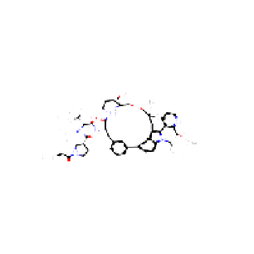 C=CC(=O)N1CC[C@H](C(=O)N(C)[C@H](C(=O)N[C@H]2Cc3cccc(c3)-c3ccc4c(c3)c(c(-c3cccnc3[C@H](C)OC)n4CC)CC(C)(C)COC[C@@]3(C=O)CCCN(N3)C2=O)C(C)C)[C@H]1C